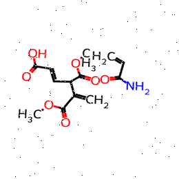 C=C(C(=O)OC)C(C=CC(=O)O)C(=O)OC.C=CC(N)=O